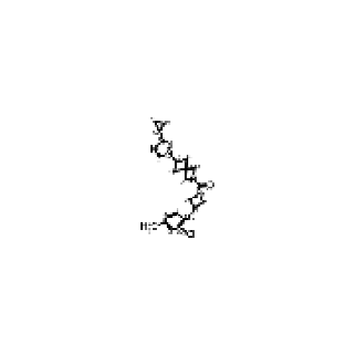 Cc1ccc(OC2CN(C(=O)N3CC4(CC(n5cnc(C6CC6)n5)C4)C3)C2)c(Cl)c1